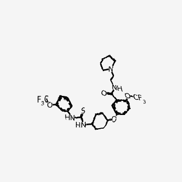 O=C(NCCN1CCCCC1)c1cc(OC2CCC(NC(=S)Nc3cccc(OC(F)(F)F)c3)CC2)ccc1OC(F)(F)F